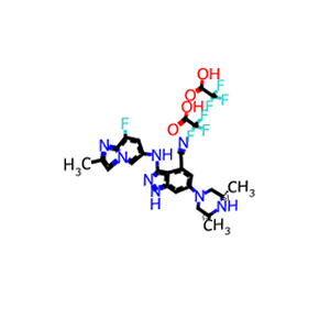 Cc1cn2cc(Nc3n[nH]c4cc(N5C[C@H](C)N[C@@H](C)C5)cc(C#N)c34)cc(F)c2n1.O=C(O)C(F)(F)F.O=C(O)C(F)(F)F